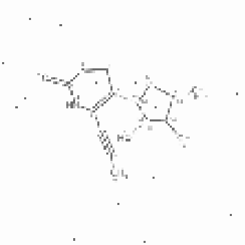 CC#Cc1[nH]c(=O)ccc1[C@@H]1O[C@H](C)C(O)[C@@H]1O